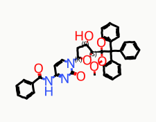 COOC(OC)([C@H]1O[C@@H](n2ccc(NC(=O)c3ccccc3)nc2=O)C[C@@H]1O)C(c1ccccc1)(c1ccccc1)c1ccccc1